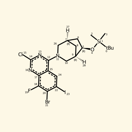 CC(C)(C)[Si](C)(C)O[C@@H]1C[C@H]2C[C@@H]1CN(c1nc(Cl)nc3c(F)c(Br)c(I)cc13)C2